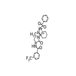 CC(C)N(C)[C@]1(N2CC[C@H](NC(=O)c3cccc(C(F)(F)F)c3)C2=O)CCCC[C@H]1CS(=O)(=O)c1ccccc1